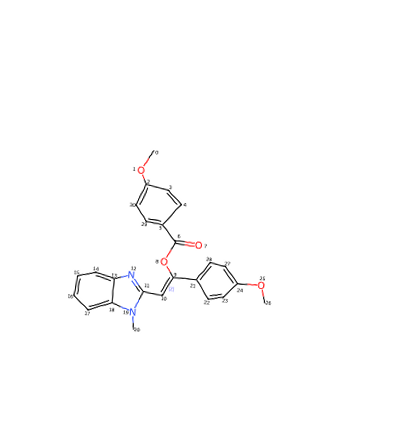 COc1ccc(C(=O)O/C(=C\c2nc3ccccc3n2C)c2ccc(OC)cc2)cc1